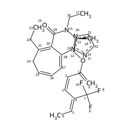 C=C(/C=C\C(=C/C)C(F)(F)F)OC[C@H](C)N(CC)C(=O)C1=C(CC)CC=CC=C1n1nccn1